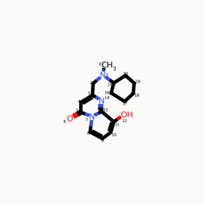 CN(Cc1cc(=O)n2cccc(O)c2n1)C1CCCCC1